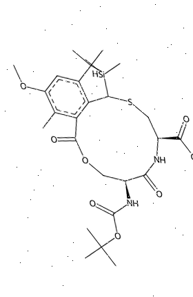 COc1cc(C(C)(C)C)c2c(c1C)C(=O)OC[C@H](NC(=O)OC(C)(C)C)C(=O)N[C@H](C(=O)O)CSC2[SiH](C)C